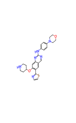 c1csc(-c2cc3cnc(Nc4ccc(N5CCOCC5)cc4)nc3cc2OC2CCNCC2)n1